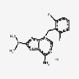 Br.CN(C)c1nc2c(N)ncn(Cc3c(Cl)cccc3Cl)c-2n1